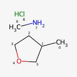 CC1CCOC1.CN.Cl